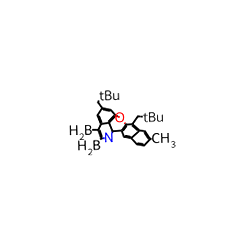 Bc1nc2c3c(cc(CC(C)(C)C)cc3c1B)Oc1c-2cc2ccc(C)cc2c1CC(C)(C)C